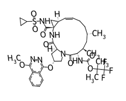 COc1nnc(O[C@@H]2C[C@H]3C(=O)N[C@]4(C(=O)NS(=O)(=O)C5CC5)C[C@H]4/C=C\CC[C@H](C)C[C@@H](C)[C@H](NC(=O)OC(C)(C)C(F)(F)F)C(=O)N3C2)c2ccccc12